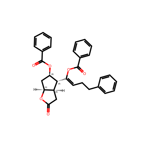 O=C1C[C@@H]2[C@@H](C(=CCCc3ccccc3)OC(=O)c3ccccc3)[C@H](OC(=O)c3ccccc3)C[C@@H]2O1